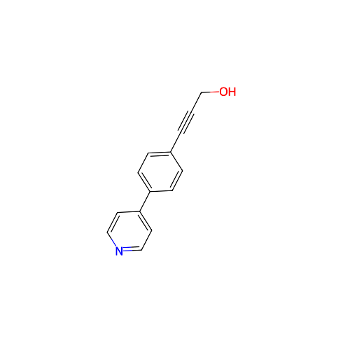 OCC#Cc1ccc(-c2ccncc2)cc1